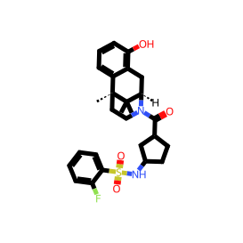 CC1(C)[C@H]2Cc3c(O)cccc3[C@]1(C)CCN2C(=O)C1CCC(NS(=O)(=O)c2ccccc2F)C1